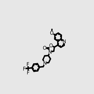 COc1ccc2nccc(C3CN(C4CCN(Cc5ccc(C(F)(F)F)cc5)CC4)C(=O)O3)c2c1